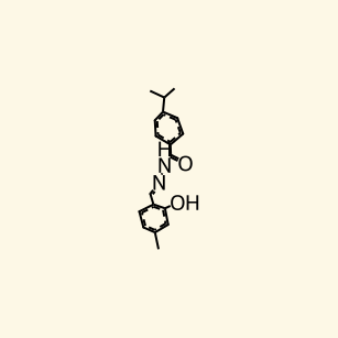 Cc1ccc(/C=N/NC(=O)c2ccc(C(C)C)cc2)c(O)c1